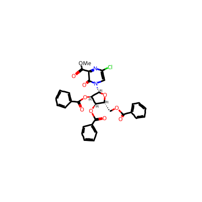 COC(=O)c1nc(Cl)cn([C@@H]2O[C@H](COC(=O)c3ccccc3)[C@@H](OC(=O)c3ccccc3)[C@H]2OC(=O)c2ccccc2)c1=O